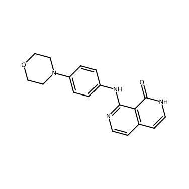 O=c1[nH]ccc2ccnc(Nc3ccc(N4CCOCC4)cc3)c12